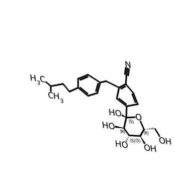 CC(C)CCc1ccc(Cc2cc([C@]3(O)O[C@H](CO)[C@@H](O)[C@H](O)[C@H]3O)ccc2C#N)cc1